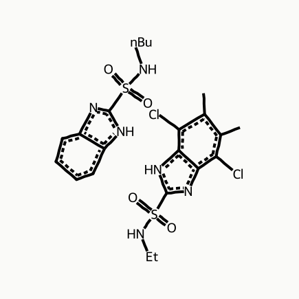 CCCCNS(=O)(=O)c1nc2ccccc2[nH]1.CCNS(=O)(=O)c1nc2c(Cl)c(C)c(C)c(Cl)c2[nH]1